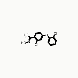 CC(=NO)c1ccc(Oc2ccccc2Cl)cc1Cl